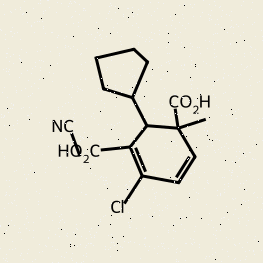 CC#N.CC1(C(=O)O)C=CC(Cl)=C(C(=O)O)C1C1CCCC1